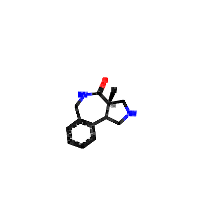 O=C1NCc2ccccc2C2CNC[C@@H]12